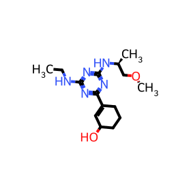 CCNc1nc(N[C@@H](C)COC)nc(C2=CC(O)CCC2)n1